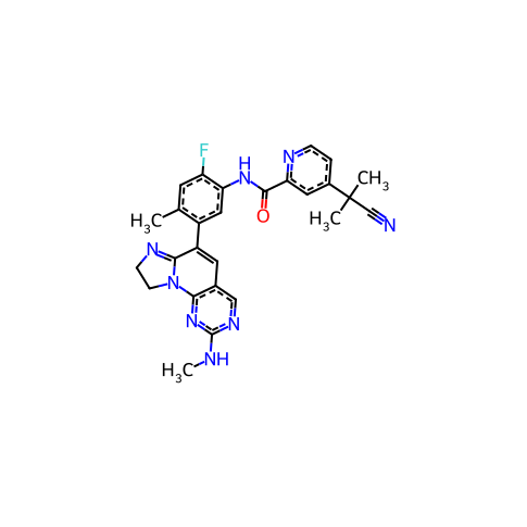 CNc1ncc2c(n1)N1CCN=C1C(c1cc(NC(=O)c3cc(C(C)(C)C#N)ccn3)c(F)cc1C)=C2